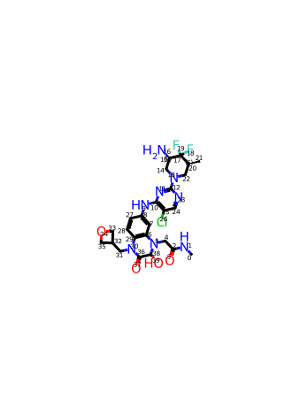 CNC(=O)CN1c2cc(Nc3nc(N4C[C@@H](N)C(F)(F)[C@@H](C)C4)ncc3Cl)ccc2N(CC2COC2)C(=O)C1O